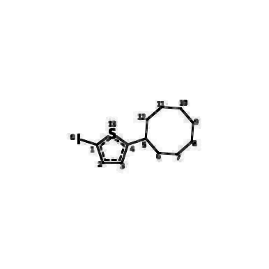 Ic1ccc(C2CCCCCCC2)s1